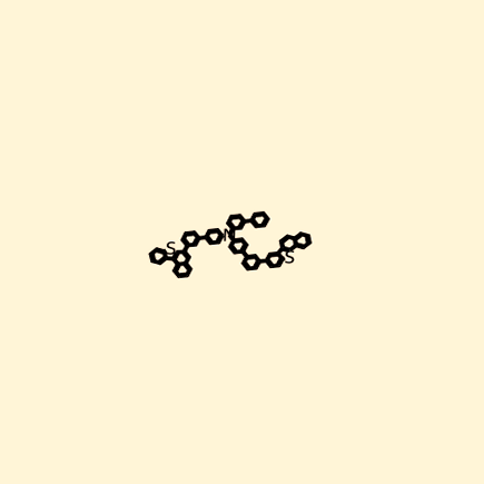 c1ccc(-c2cccc(N(c3ccc(-c4cccc(-c5ccc6sc7c8ccccc8ccc7c6c5)c4)cc3)c3ccc(-c4cccc(-c5cc6ccccc6c6c5sc5ccccc56)c4)cc3)c2)cc1